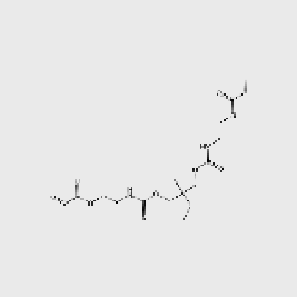 C=CC(=O)OCCNC(=O)OCC(C)(CC)COC(=O)NCCOC(=O)C=C